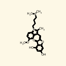 COc1ccc2c(c1)c(C=C1Oc3cc(O)cc(O)c3C1=O)c(C)n2CCCCN(C)C